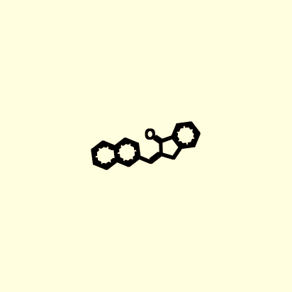 O=C1/C(=C\c2ccc3ccccc3c2)Cc2ccccc21